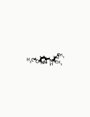 CCOc1ccc(CN[C@H](C)COC)nn1